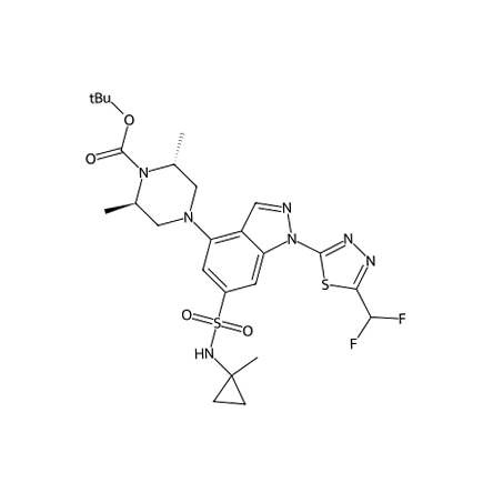 C[C@@H]1CN(c2cc(S(=O)(=O)NC3(C)CC3)cc3c2cnn3-c2nnc(C(F)F)s2)C[C@@H](C)N1C(=O)OC(C)(C)C